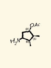 CC(=O)O[C@@H]1CC(N)[C@H](C)[C@@H]1C